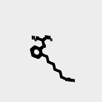 CCCCCCCCCCCCCCCc1ccccc1OC(N)N